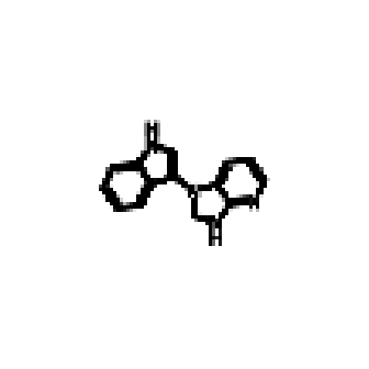 c1cnc2c(c1)N(c1c[nH]c3ccccc13)CN2